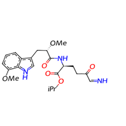 COc1cccc2c(C[C@H](OC)C(=O)N[C@@H](CCC(=O)C=N)C(=O)OC(C)C)c[nH]c12